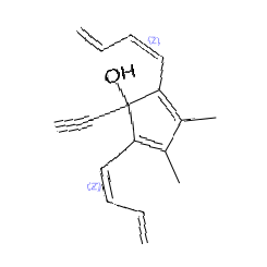 C#CC1(O)C(/C=C\C=C)=C(C)C(C)=C1/C=C\C=C